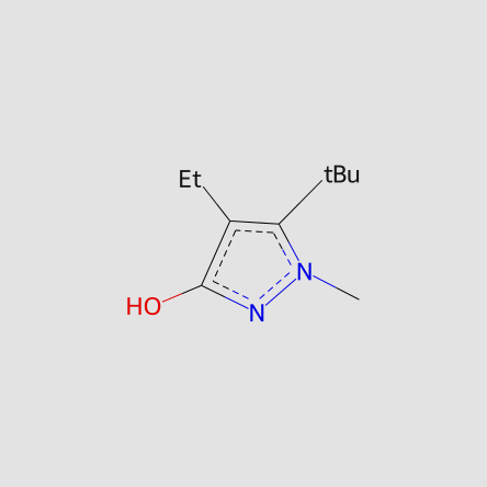 CCc1c(O)nn(C)c1C(C)(C)C